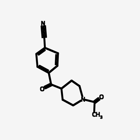 CC(=O)N1CCC(C(=O)c2ccc(C#N)cc2)CC1